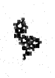 CCNC(=O)c1cn2ncnc(N)c2c1-c1ccc(Nc2nc3ccc(C)c(C)c3[nH]2)cc1